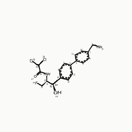 NCc1ccc(-c2ccc([C@@H](O)[C@@H](CF)NC(=O)C(Cl)Cl)cc2)cc1